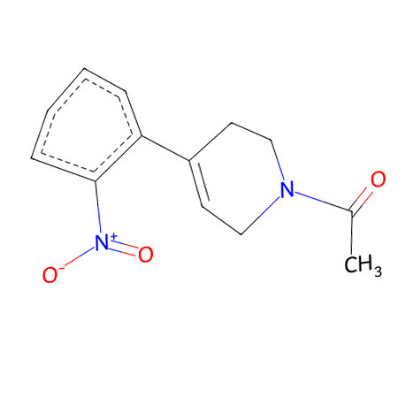 CC(=O)N1CC=C(c2ccccc2[N+](=O)[O-])CC1